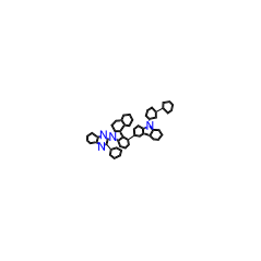 c1ccc(-c2cccc(-n3c4ccccc4c4cc(-c5cccc6c5c5c7ccccc7ccc5n6-c5nc6ccccc6nc5-c5ccccc5)ccc43)c2)cc1